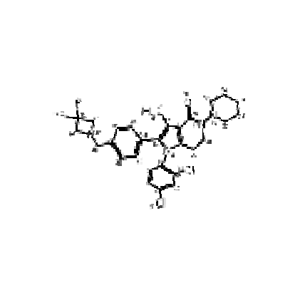 Cc1c2c(n(-c3ccc(Cl)cc3Cl)c1-c1ccc(CN3CC(F)(F)C3)cc1)CCN(N1CCCCC1)C2=O